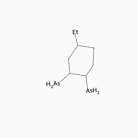 CCC1CCC([AsH2])C([AsH2])C1